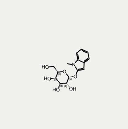 Cn1c(O[C@@H]2O[C@H](CO)[C@H](O)[C@H](O)[C@H]2O)cc2ccccc21